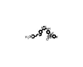 CN1CCC(CCn2ccc3cc(-c4cc(Nc5ccc(N(OC=O)S(=O)(=O)c6ccc(F)cc6F)cc5)ncn4)ccc32)CC1